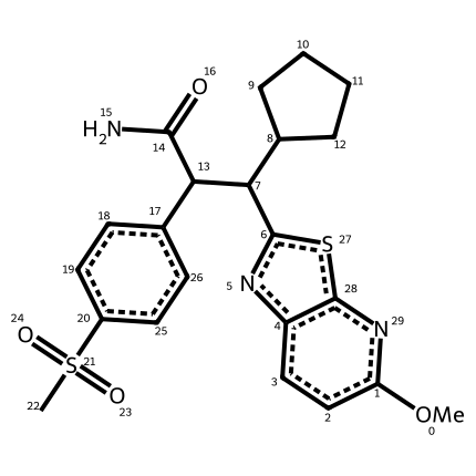 COc1ccc2nc(C(C3CCCC3)C(C(N)=O)c3ccc(S(C)(=O)=O)cc3)sc2n1